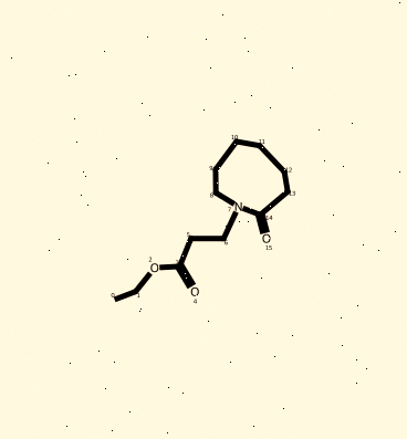 CCOC(=O)CCN1CCCCCCC1=O